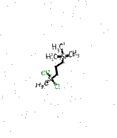 C[Si](C)(C)CCC[Si](C)(Cl)Cl